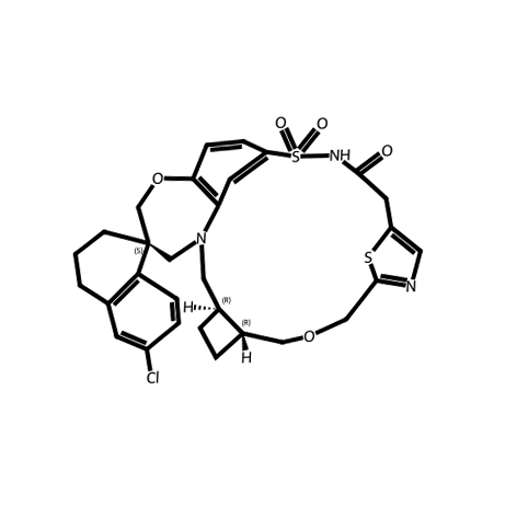 O=C1Cc2cnc(s2)COC[C@@H]2CC[C@H]2CN2C[C@@]3(CCCc4cc(Cl)ccc43)COc3ccc(cc32)S(=O)(=O)N1